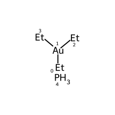 C[CH2][Au]([CH2]C)[CH2]C.P